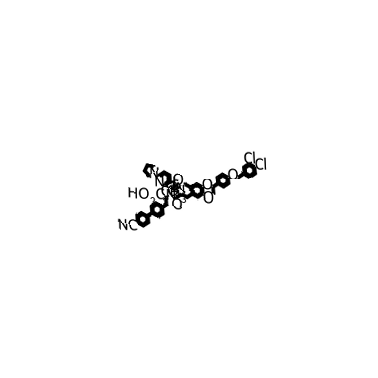 Cc1nc(N2CCCC2)ccc1S(=O)(=O)N1Cc2cc3c(cc2CC1C(=O)NC(Cc1ccc(-c2ccc(C#N)cc2)cc1)C(=O)O)OCC(c1ccc(OCc2ccc(Cl)c(Cl)c2)cc1)O3